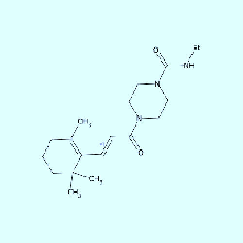 CCNC(=O)N1CCN(C(=O)/C=C/C2=C(C)CCCC2(C)C)CC1